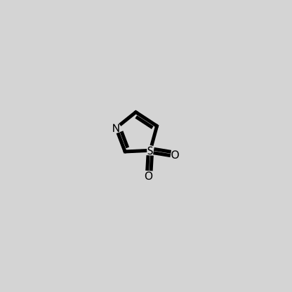 O=S1(=O)C=CN=C1